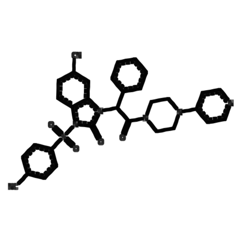 N#Cc1ccc(S(=O)(=O)n2c(=O)n(C(C(=O)N3CCN(c4ccncc4)CC3)c3ccccc3)c3cc(C#N)ccc32)cc1